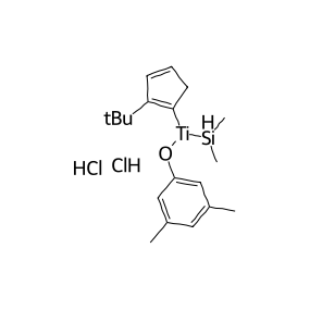 Cc1cc(C)cc([O][Ti]([C]2=C(C(C)(C)C)C=CC2)[SiH](C)C)c1.Cl.Cl